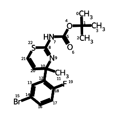 CC(C)(C)OC(=O)NC1=NC(C)(c2cc(Br)ccc2F)C=CS1